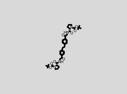 CC(C)(C)OC(=O)N1CCC[C@H]1C(=O)NCC(=O)c1ccc(CCc2ccc(C(=O)CNC(=O)[C@@H]3CCCN3C(=O)OC(C)(C)C)cc2)cc1